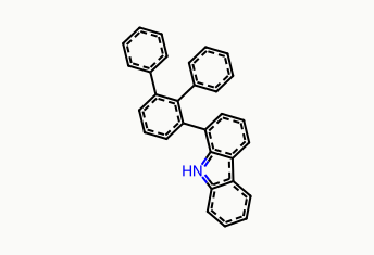 c1ccc(-c2cccc(-c3cccc4c3[nH]c3ccccc34)c2-c2ccccc2)cc1